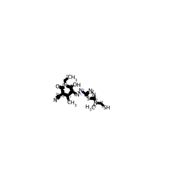 CCn1c(O)c(/N=N/c2nnc(N(C)CS)s2)c(C)c(C#N)c1=O